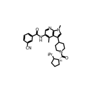 Cc1c(NC(=O)c2cccc(C#N)c2)cnc2c1c(C1CCN(C(=O)[C@@H]3CCCC3C(C)C)CC1)cn2C